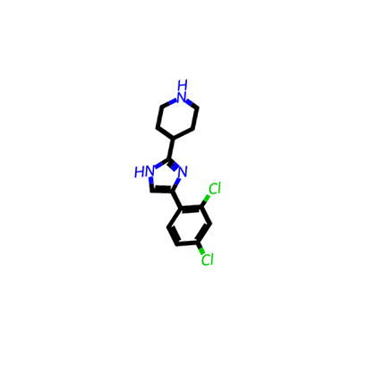 Clc1ccc(-c2c[nH]c(C3CCNCC3)n2)c(Cl)c1